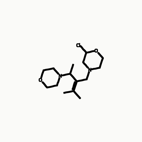 CC(C)=C(CN1CCOC(Cl)C1)C(C)N1CCOCC1